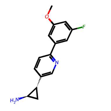 COc1cc(F)cc(-c2ccc([C@@H]3C[C@H]3N)cn2)c1